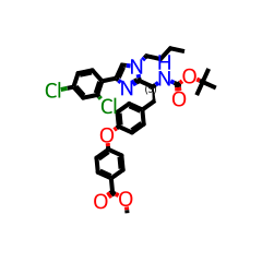 CCCCn1cc(-c2ccc(Cl)cc2Cl)nc1[C@H](Cc1ccc(Oc2ccc(C(=O)OC)cc2)cc1)NC(=O)OC(C)(C)C